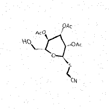 CC(=O)O[C@@H]1[C@H](OC(C)=O)[C@@H](SCC#N)O[C@H](CO)[C@H]1OC(C)=O